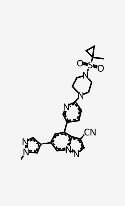 Cn1cc(-c2cc(-c3ccc(N4CCN(S(=O)(=O)C5(C)CC5)CC4)nc3)c3c(C#N)cnn3c2)cn1